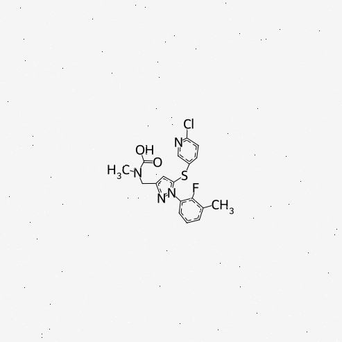 Cc1cccc(-n2nc(CN(C)C(=O)O)cc2Sc2ccc(Cl)nc2)c1F